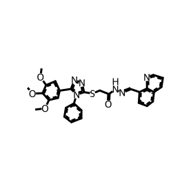 COc1cc(-c2nnc(SCC(=O)N/N=C/c3cccc4cccnc34)n2-c2ccccc2)cc(OC)c1OC